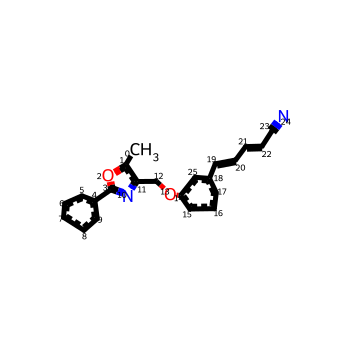 Cc1oc(-c2ccccc2)nc1COc1cccc(C=CC=CC#N)c1